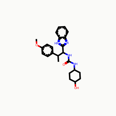 COc1ccc(C(C)C(NC(=O)NC2CCC(O)CC2)c2nc3ccccc3[nH]2)cc1